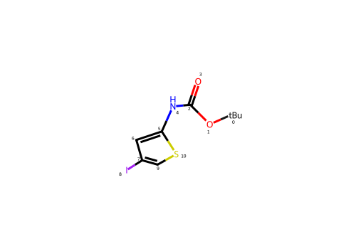 CC(C)(C)OC(=O)Nc1cc(I)cs1